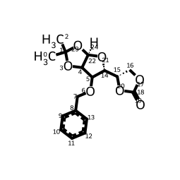 CC1(C)OC2C(OCc3ccccc3)[C@@H]([C@@H]3COC(=O)O3)O[C@@H]2O1